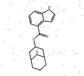 CN1C2CCCC1CC(OC(=O)c1cccc3[nH]ccc13)C2